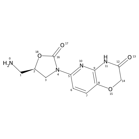 NC[C@@H]1CN(c2ccc3c(n2)NC(=O)CO3)C(=O)O1